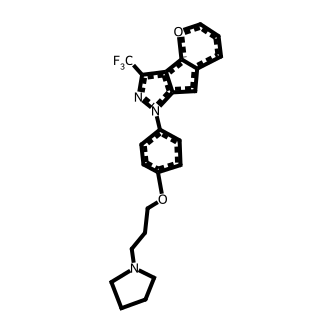 FC(F)(F)c1nn(-c2ccc(OCCCN3CCCC3)cc2)c2cc3cccoc-3c12